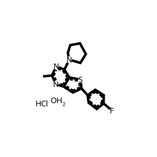 Cc1nc(N2CCCCC2)c2sc(-c3ccc(F)cc3)cc2n1.Cl.O